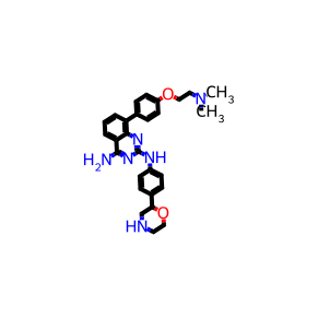 CN(C)CCOc1ccc(-c2cccc3c(N)nc(Nc4ccc(C5CNCCO5)cc4)nc23)cc1